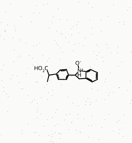 CC(C(=O)O)c1ccc(C2Cc3ccccc3[NH+]2[O-])cc1